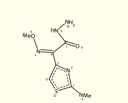 CNc1nc(C(=NOC)C(=O)NN)cs1